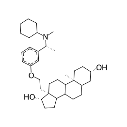 C[C@H](c1cccc(OCC[C@]23CCC4C(CCC5C[C@@H](O)CC[C@@]54C)C2CC[C@@H]3O)c1)N(C)C1CCCCC1